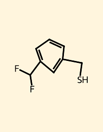 FC(F)c1cccc(CS)c1